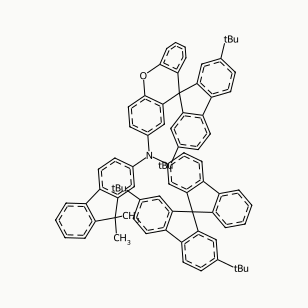 CC(C)(C)c1ccc2c(c1)C1(c3ccccc3Oc3ccc(N(c4ccc5c(c4)C(C)(C)c4ccccc4-5)c4ccc5c(c4)C4(c6ccccc6-5)c5cc(C(C)(C)C)ccc5-c5ccc(C(C)(C)C)cc54)cc31)c1cc(C(C)(C)C)ccc1-2